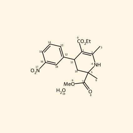 CCOC(=O)C1=C(C)NC(C)(C(=O)OC)CC1c1cccc([N+](=O)[O-])c1.O